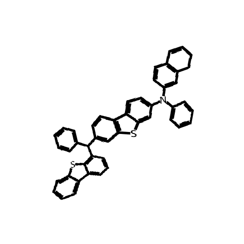 C1=Cc2ccc(N(c3ccccc3)c3ccc4c(c3)sc3cc(C(c5ccccc5)c5cccc6c5sc5ccccc56)ccc34)cc2CC1